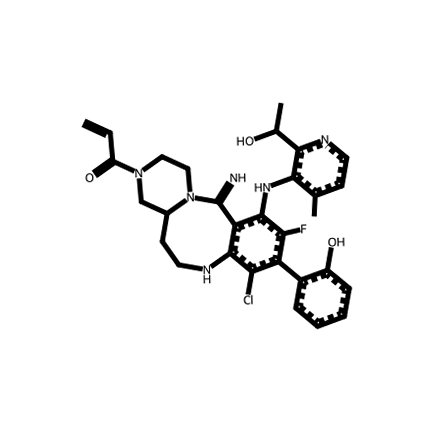 C=CC(=O)N1CCN2C(=N)c3c(Nc4c(C)ccnc4C(C)O)c(F)c(-c4ccccc4O)c(Cl)c3NCCC2C1